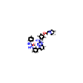 O=C(Nc1ccccc1)Nc1cccc(-c2cccc3nc(Nc4ccc(OCCN5CCCC5)cc4)nn23)c1